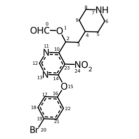 O=COC(CC1CCNCC1)c1ncnc(Oc2ccc(Br)cc2)c1[N+](=O)[O-]